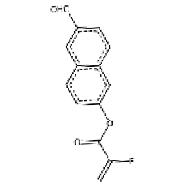 C=C(F)C(=O)Oc1ccc2cc(C=O)ccc2c1